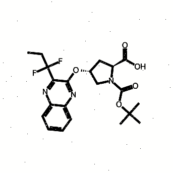 CCC(F)(F)c1nc2ccccc2nc1O[C@@H]1C[C@@H](C(=O)O)N(C(=O)OC(C)(C)C)C1